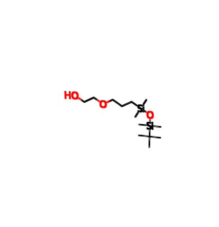 CC(C)(C)[Si](C)(C)O[Si](C)(C)CCCOCCO